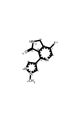 Cn1cc(-c2ncc(F)c3c2C(=O)NC3)cn1